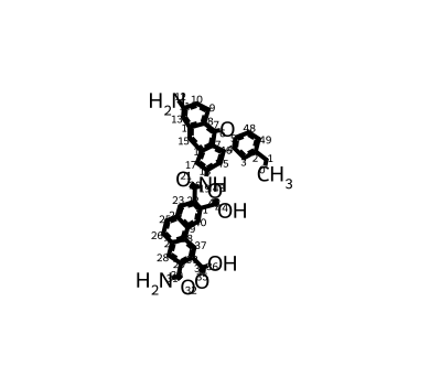 CCc1ccc(Oc2c3ccc(N)cc3cc3cc(NC(=O)c4cc5ccc6cc(C(N)=O)c(C(=O)O)cc6c5cc4C(=O)O)ccc23)cc1